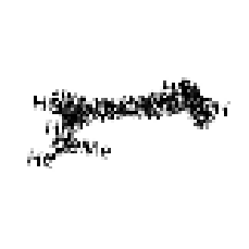 C#Cc1ccc(CNC(=O)[C@@H]2C[C@@H](O)CN2C(=O)[C@@H](NC(=O)[C@H]2CCC3(CC2)C[C@H](N2CCC(c4cnc(N5CCN(c6cc(-c7ccccc7O)nnc6NCC)CC5)nc4)CC2)C3)C(C)(C)C)c(OC)c1